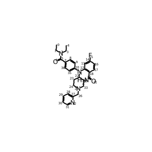 CCN(CC)C(=O)c1ccc(N(c2cc(F)ccc2C(N)=O)C2CCN(Cc3ccccn3)CC2)cc1